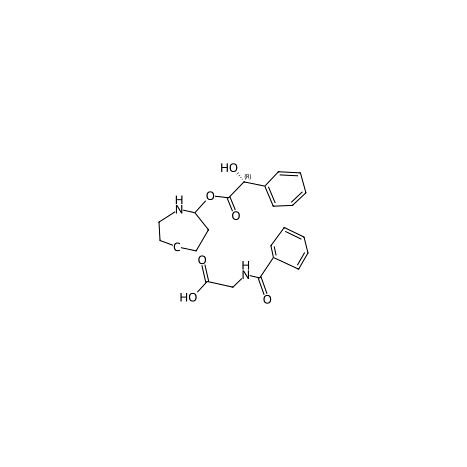 O=C(O)CNC(=O)c1ccccc1.O=C(OC1CCCCCN1)[C@H](O)c1ccccc1